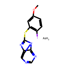 COc1ccc(I)c(Sc2nc3c4ncnc3n24)c1.[AsH3]